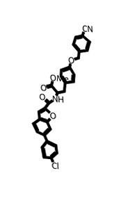 COC(=O)C(Cc1ccc(OCc2ccc(C#N)cc2)cc1)NC(=O)c1cc2ccc(-c3ccc(Cl)cc3)cc2o1